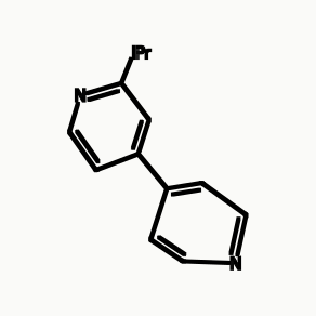 CC(C)c1cc(-c2ccncc2)ccn1